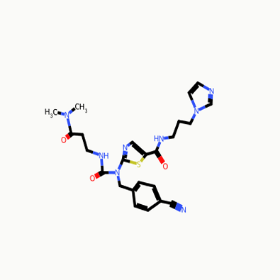 CN(C)C(=O)CCNC(=O)N(Cc1ccc(C#N)cc1)c1ncc(C(=O)NCCCn2ccnc2)s1